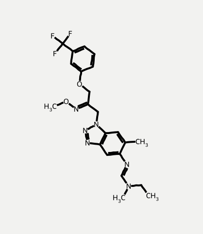 CCN(C)C=Nc1cc2nnn(CC(COc3cccc(C(F)(F)F)c3)=NOC)c2cc1C